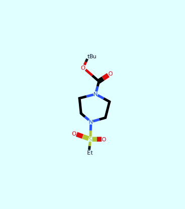 CCS(=O)(=O)N1CCN(C(=O)OC(C)(C)C)CC1